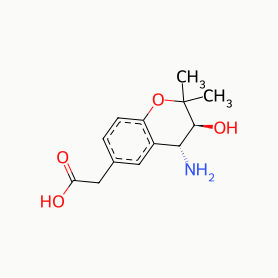 CC1(C)Oc2ccc(CC(=O)O)cc2[C@@H](N)[C@@H]1O